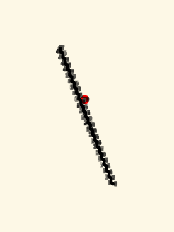 CCCCCCCCCCCCCCCCCCCCCCCCCCCCC(=O)CCCCCCCCCCCCCCCCCC